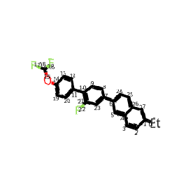 CCc1ccc2cc(-c3ccc(-c4ccc(OC(F)F)cc4)c(F)c3)ccc2c1